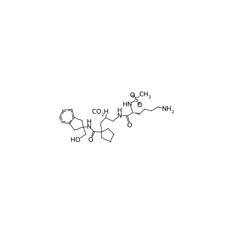 CS(=O)(=O)N[C@@H](CCCCN)C(=O)NCC(CC1(C(=O)NC2(CO)Cc3ccccc3C2)CCCC1)C(=O)O